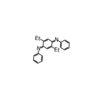 CCC1=CC(=Nc2ccccc2)C(CC)=CC1=Nc1ccccc1